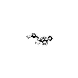 Cc1cc(COC(C)(C)C(O)[C@H](N)C(=O)N2CCCC2)no1